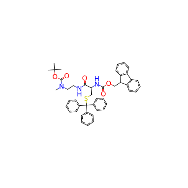 CN(CCNC(=O)[C@H](CSC(c1ccccc1)(c1ccccc1)c1ccccc1)NC(=O)OCC1c2ccccc2-c2ccccc21)C(=O)OC(C)(C)C